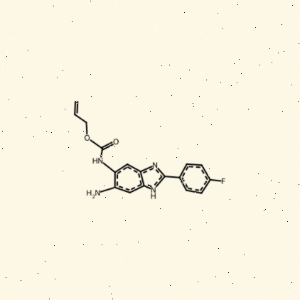 C=CCOC(=O)Nc1cc2nc(-c3ccc(F)cc3)[nH]c2cc1N